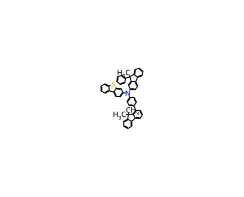 CC1(C)c2ccccc2-c2cccc(-c3ccc(N(c4ccc5c(c4)C(C)(c4ccccc4)c4ccccc4-5)c4ccc5c(c4)sc4ccccc45)cc3)c21